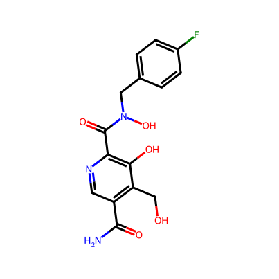 NC(=O)c1cnc(C(=O)N(O)Cc2ccc(F)cc2)c(O)c1CO